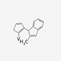 CC1=Cc2ccccc2C1C1=[C]([V])CC=C1